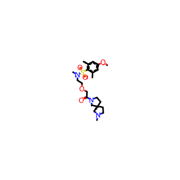 COc1cc(C)c(S(=O)(=O)N(C)CCOCC(=O)N2CCC3(CCN(C)C3)C2)c(C)c1